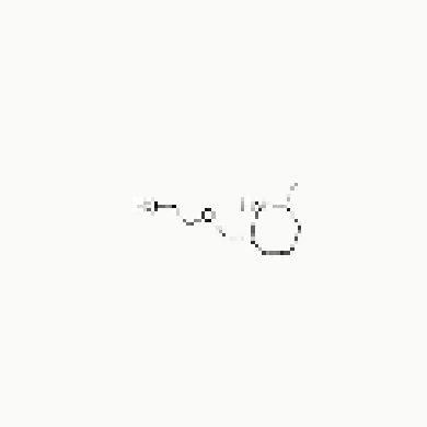 C[C@@H]1CCC[C@H](COCCO)N1